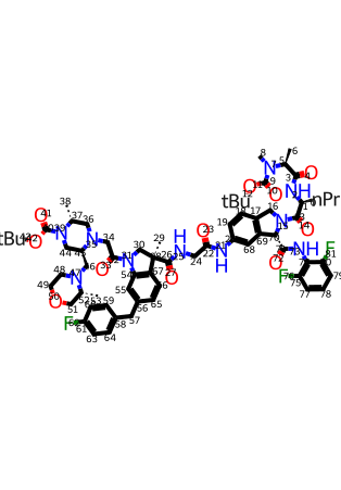 CCC[C@H](NC(=O)[C@H](C)N(C)C(=O)OC(C)(C)C)C(=O)N1Cc2ccc(NC(=O)CNC(=O)[C@]3(C)CN(C(=O)CN4C[C@@H](C)N(C(=O)OC(C)(C)C)C[C@@H]4CN4CCOC[C@H]4C)c4cc(Cc5ccc(F)cc5)ccc43)cc2[C@H]1C(=O)Nc1c(F)cccc1F